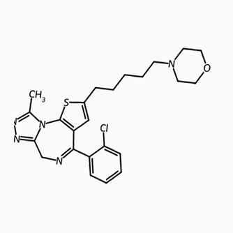 Cc1nnc2n1-c1sc(CCCCCN3CCOCC3)cc1C(c1ccccc1Cl)=NC2